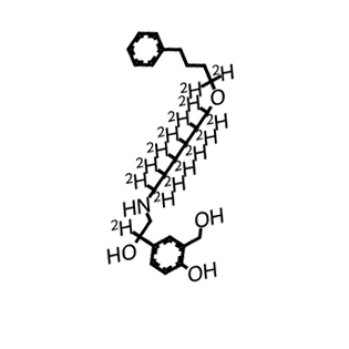 [2H]C([2H])(CCCc1ccccc1)OC([2H])([2H])C([2H])([2H])C([2H])([2H])C([2H])([2H])C([2H])([2H])C([2H])([2H])NCC([2H])(O)c1ccc(O)c(CO)c1